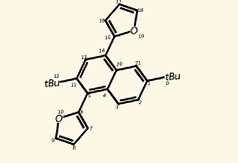 CC(C)(C)c1ccc2c(-c3ccco3)c(C(C)(C)C)cc(-c3ccco3)c2c1